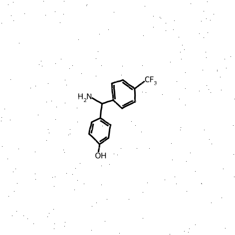 NC(c1ccc(O)cc1)c1ccc(C(F)(F)F)cc1